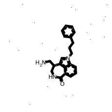 NCC1CNC(=O)c2cccc3c2c1cn3CCCc1ccccc1